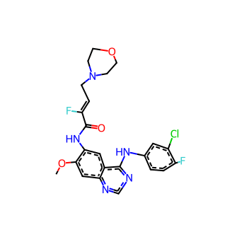 COc1cc2ncnc(Nc3ccc(F)c(Cl)c3)c2cc1NC(=O)C(F)=CCN1CCOCC1